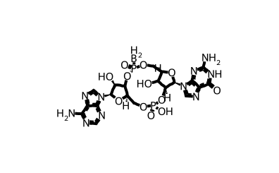 BP1(=O)OC[C@H]2O[C@@H](n3cnc4c(=O)[nH]c(N)nc43)[C@@H](OP(=O)(O)OC[C@H]3O[C@@H](n4cnc5c(N)ncnc54)[C@@H](O)C3O1)C2O